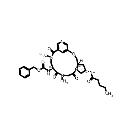 CCCCC(=O)N[C@H]1C[C@H]2COc3cncc(c3)C(=O)N(C)C[C@H](NC(=O)OCc3ccccc3)C(=O)N(C)CC(=O)N2C1